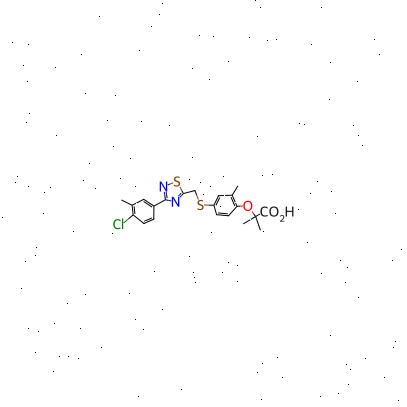 Cc1cc(-c2nsc(CSc3ccc(OC(C)(C)C(=O)O)c(C)c3)n2)ccc1Cl